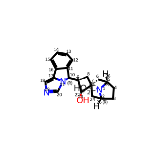 O=C(O)N1[C@@H]2CC[C@H]1C[C@]1(C[C@H]([C@@H]3c4ccccc4-c4cncn43)[C@@H]1O)C2